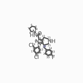 O=C(NN1CCCCC1)c1nn(-c2ccc(Cl)cc2Cl)c2c1CCNC/C2=C\c1ccc(F)cc1